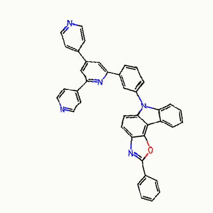 c1ccc(-c2nc3ccc4c(c5ccccc5n4-c4cccc(-c5cc(-c6ccncc6)cc(-c6ccncc6)n5)c4)c3o2)cc1